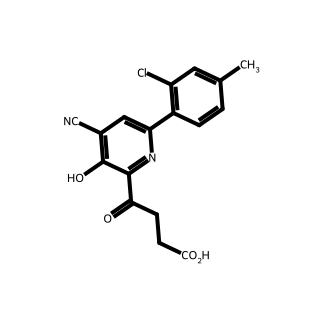 Cc1ccc(-c2cc(C#N)c(O)c(C(=O)CCC(=O)O)n2)c(Cl)c1